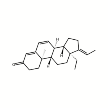 CC=C1CC[C@H]2[C@@H]3C=CC4=CC(=O)CC[C@]4(C)[C@H]3CC[C@]12CC